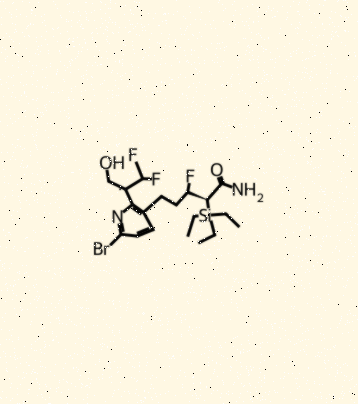 CC[Si](CC)(CC)[C@H](C(N)=O)C(F)CCc1ccc(Br)nc1[C](CO)C(F)F